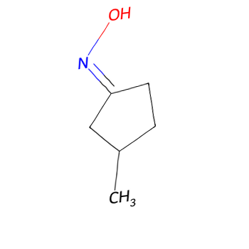 CC1CCC(=NO)C1